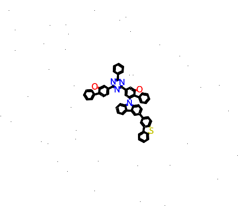 c1ccc(-c2nc(-c3ccc4c(c3)oc3ccccc34)nc(-c3cc(-n4c5ccccc5c5cc(-c6ccc7sc8ccccc8c7c6)ccc54)c4c(c3)oc3ccccc34)n2)cc1